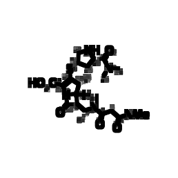 CNC(=O)CC(=O)N[C@H](C)[C@H]1C(=O)N2C(C(=O)O)=C(S[C@@H]3CN[C@H](C(=O)N(C)C)C3)[C@H](C)[C@H]12